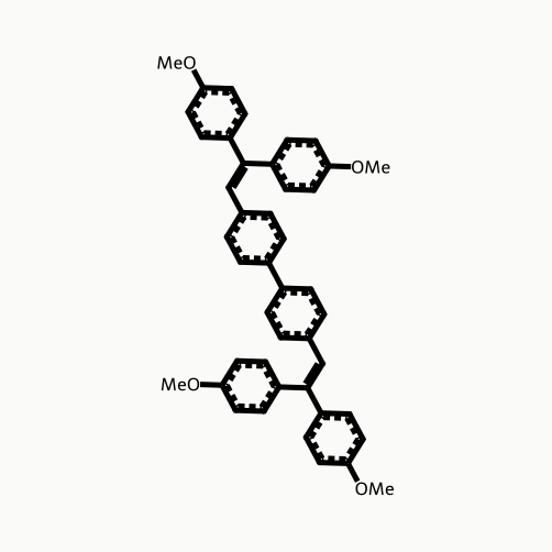 COc1ccc(C(=Cc2ccc(-c3ccc(C=C(c4ccc(OC)cc4)c4ccc(OC)cc4)cc3)cc2)c2ccc(OC)cc2)cc1